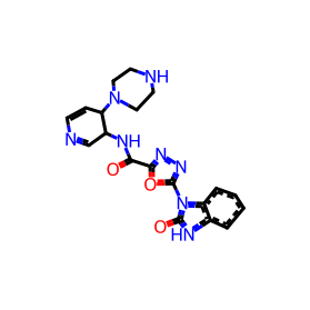 O=C(NC1C=NC=CC1N1CCNCC1)c1nnc(-n2c(=O)[nH]c3ccccc32)o1